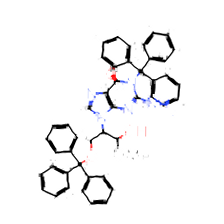 COC(O)C(COC(c1ccccc1)(c1ccccc1)c1ccccc1)n1cnc2c(=O)n(C(c3ccccc3)(c3ccccc3)c3ccccc3)c(N)nc21